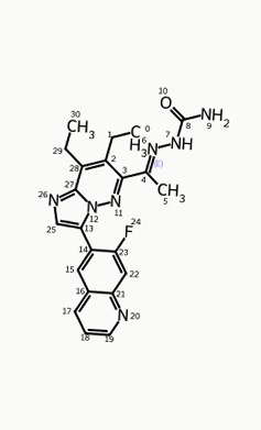 CCc1c(/C(C)=N/NC(N)=O)nn2c(-c3cc4cccnc4cc3F)cnc2c1CC